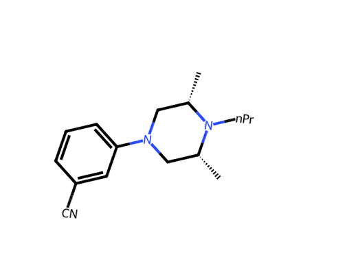 CCCN1[C@H](C)CN(c2cccc(C#N)c2)C[C@@H]1C